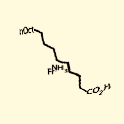 CCCCCCCCCCCCCCCCC(=O)O.N.[Fr]